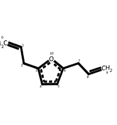 C=CCc1ccc(CC=C)o1